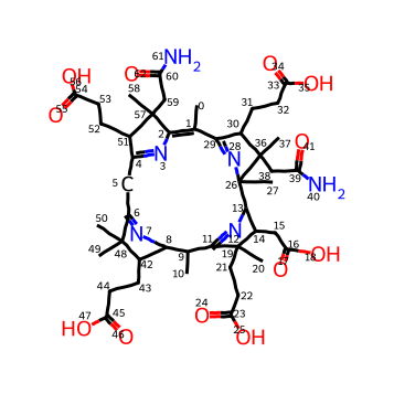 C/C1=C2/N=C(CC3=NC(C(C)C4=NC(C(CC(=O)O)C4(C)CCC(=O)O)C4(C)N=C1C(CCC(=O)O)C4(C)CC(N)=O)C(CCC(=O)O)C3(C)C)C(CCC(=O)O)C2(C)CC(N)=O